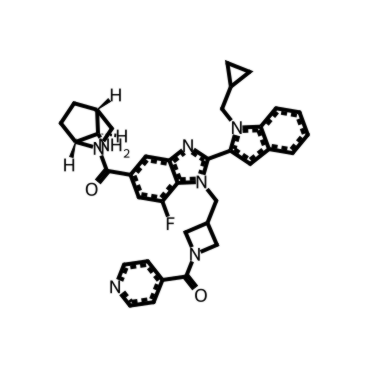 N[C@@H]1[C@@H]2CC[C@H]1N(C(=O)c1cc(F)c3c(c1)nc(-c1cc4ccccc4n1CC1CC1)n3CC1CN(C(=O)c3ccncc3)C1)C2